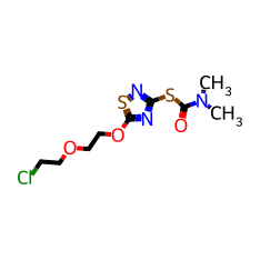 CN(C)C(=O)Sc1nsc(OCCOCCCl)n1